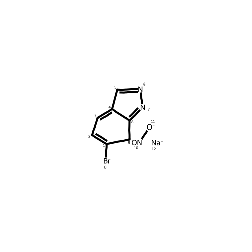 BrC1=CC=C2C=NN=C2C1.O=N[O-].[Na+]